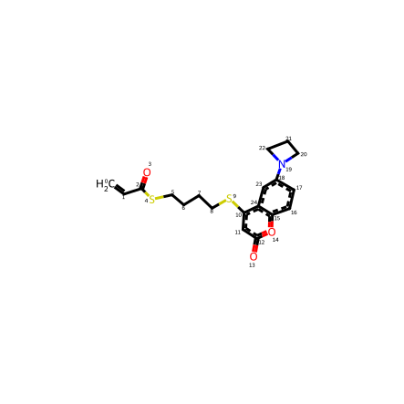 C=CC(=O)SCCCCSc1cc(=O)oc2ccc(N3CCC3)cc12